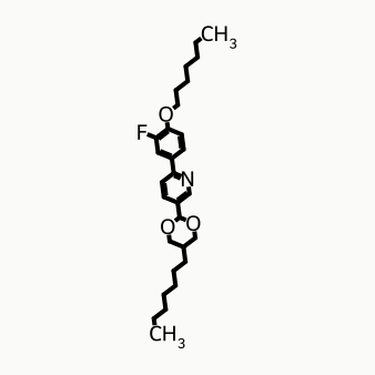 CCCCCCCOc1ccc(-c2ccc(C3OCC(CCCCCCC)CO3)cn2)cc1F